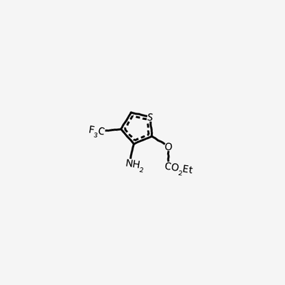 CCOC(=O)Oc1scc(C(F)(F)F)c1N